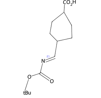 CC(C)(C)OC(=O)/N=C/C1CCC(C(=O)O)CC1